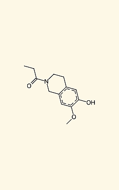 CCC(=O)N1CCc2cc(O)c(OC)cc2C1